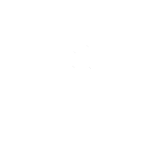 CCc1cc2c(cc1Cl)Nc1cncnc1N2CCO